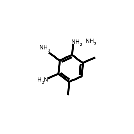 Cc1cc(C)c(N)c(C)c1N.N.N